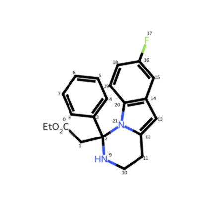 CCOC(=O)CC1(c2ccccc2)NCCc2cc3cc(F)ccc3n21